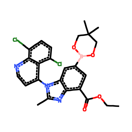 CCOC(=O)c1cc(B2OCC(C)(C)CO2)cc2c1nc(C)n2-c1ccnc2c(Cl)ccc(Cl)c12